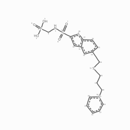 O=P(O)(O)CNS(=O)(=O)c1cc2cc(CSCCC[n+]3ccccc3)ccc2s1